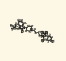 O=C1c2cc(Cl)ccc2S(=O)(=O)N1CCCCN1CCC(n2c(=O)n(CC(F)(F)F)c3ccccc32)CC1